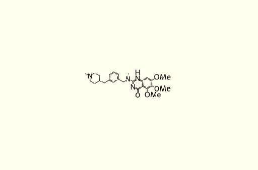 COc1cc2[nH]c(N(C)Cc3cccc(CC4CCN(C)CC4)c3)nc(=O)c2c(OC)c1OC